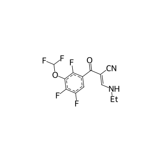 CCNC=C(C#N)C(=O)c1cc(F)c(F)c(OC(F)F)c1F